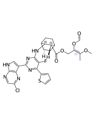 CO/C(C)=C(/COC(=O)[C@H]1C2CCC(CC2)[C@@H]1Nc1nc(-c2c[nH]c3ncc(Cl)nc23)nc(-c2cccs2)c1F)OC=O